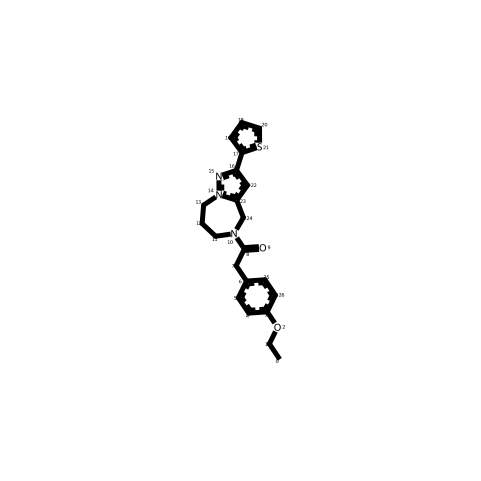 CCOc1ccc(CC(=O)N2CCCn3nc(-c4cccs4)cc3C2)cc1